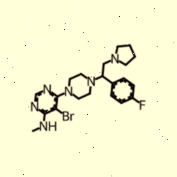 CNc1ncnc(N2CCN(C(CN3CCCC3)c3ccc(F)cc3)CC2)c1Br